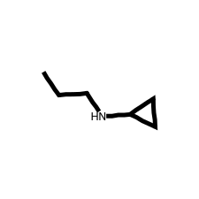 CCCNC1CC1